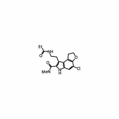 CCC(=O)NCCc1c(C(=O)NC)[nH]c2cc(Cl)c3c(c12)CCO3